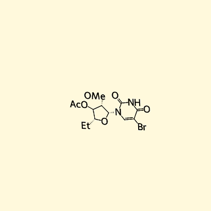 CC[C@H]1O[C@@H](n2cc(Br)c(=O)[nH]c2=O)[C@@H](OC)C1OC(C)=O